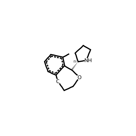 Cc1cccc2c1C([C@@H]1CCCN1)OCCC2